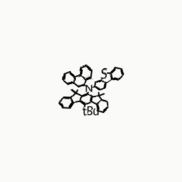 CC(C)(C)c1c2c(c(N(c3ccc4c(c3)sc3ccccc34)c3cc4ccccc4c4ccccc34)c3c1-c1ccccc1C3(C)C)C(C)(C)c1ccccc1-2